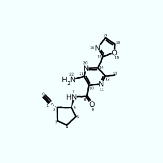 C#C[C@H]1CCC[C@@H]1NC(=O)c1nc(C)c(-c2ncco2)nc1N